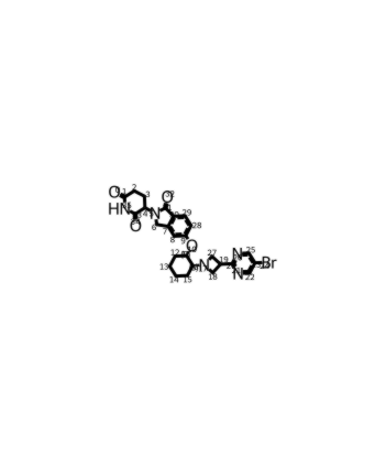 O=C1CCC(N2Cc3cc(O[C@@H]4CCCC[C@@H]4N4CC(c5ncc(Br)cn5)C4)ccc3C2=O)C(=O)N1